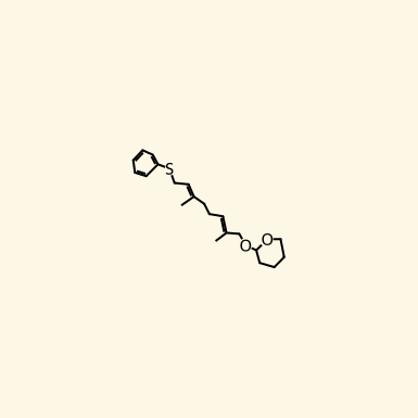 C/C(=C\CSc1ccccc1)CC/C=C(\C)COC1CCCCO1